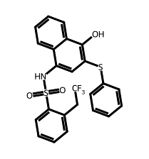 O=S(=O)(Nc1cc(Sc2ccccc2)c(O)c2ccccc12)c1ccccc1CC(F)(F)F